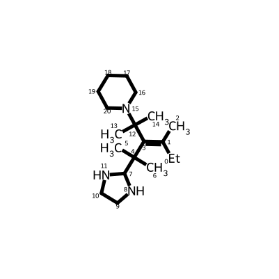 CC/C(C)=C(\C(C)(C)C1NCCN1)C(C)(C)N1CCCCC1